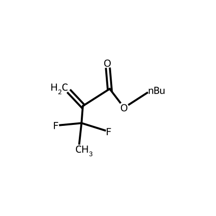 C=C(C(=O)OCCCC)C(C)(F)F